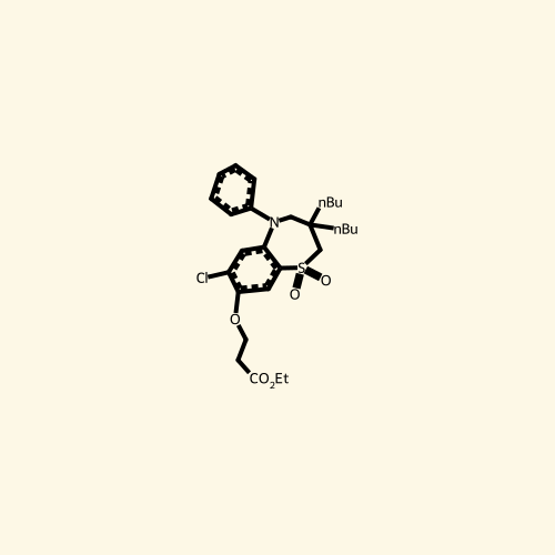 CCCCC1(CCCC)CN(c2ccccc2)c2cc(Cl)c(OCCC(=O)OCC)cc2S(=O)(=O)C1